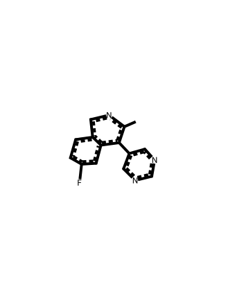 Cc1ncc2ccc(F)cc2c1-c1cncnc1